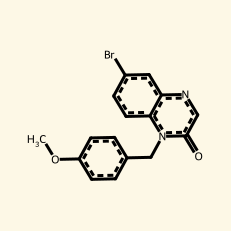 COc1ccc(Cn2c(=O)cnc3cc(Br)ccc32)cc1